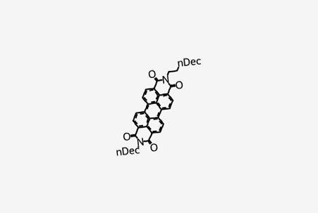 CCCCCCCCCCCCN1C(=O)c2ccc3c4ccc5c6c(ccc(c7ccc(c2c37)C1=O)c64)C(=O)N(CCCCCCCCCC)C5=O